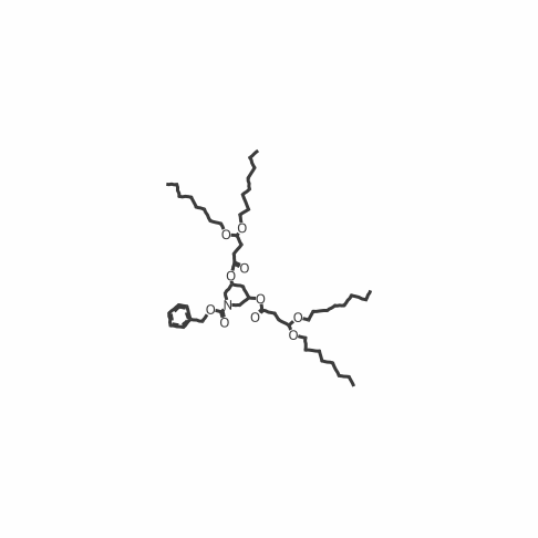 CCCCCCCCOC(CCC(=O)OC1CC(OC(=O)CCC(OCCCCCCCC)OCCCCCCCC)CN(C(=O)OCc2ccccc2)C1)OCCCCCCCC